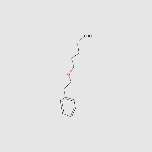 O=COCCCOCCc1ccccc1